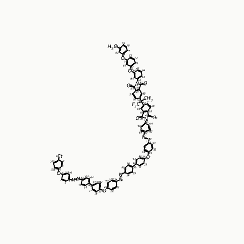 CCc1ccc(Oc2ccc(/N=N/c3ccc(-c4ccc(Oc5ccc(/N=N/c6ccc(-c7ccc(Oc8ccc(/N=N/c9ccc(N%10C(=O)c%11ccc([C@@](C)(c%12ccc%13c(c%12)C(=O)N(c%12cccc(Oc%14cccc(Oc%15cccc(C)c%15)c%14)c%12)C%13=O)C(F)(F)F)cc%11C%10=O)cc9)cc8)cc7)cc6)cc5)cc4)cc3)cc2)cc1